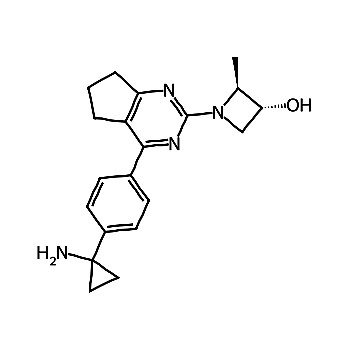 C[C@H]1[C@H](O)CN1c1nc2c(c(-c3ccc(C4(N)CC4)cc3)n1)CCC2